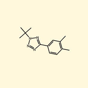 Cc1ccc(-c2nnn(C(C)(C)C)n2)cc1C